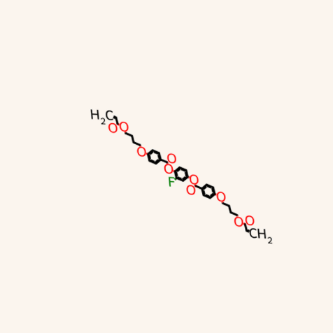 C=CC(=O)OCCCCOc1ccc(C(=O)Oc2ccc(OC(=O)c3ccc(OCCCCOC(=O)C=C)cc3)c(F)c2)cc1